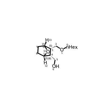 CCCCCCOC[C@@H]1[C@H](CO)[C@@H]2CC[C@H]1O2